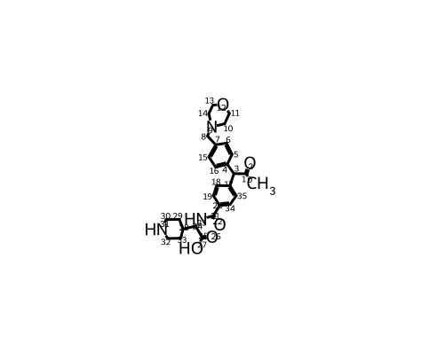 CC(=O)C(c1ccc(CN2CCOCC2)cc1)c1ccc(C(=O)N[C@H](C(=O)O)C2CCNCC2)cc1